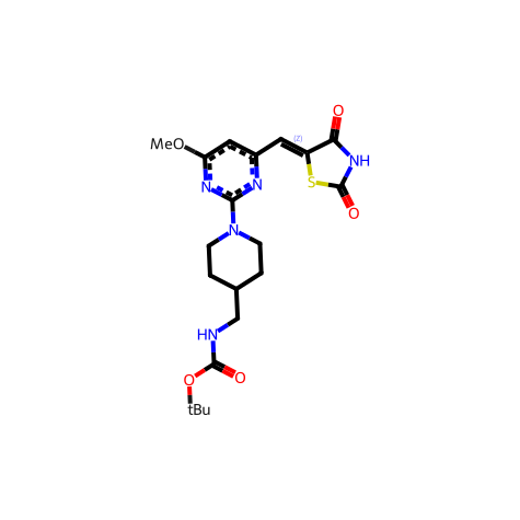 COc1cc(/C=C2\SC(=O)NC2=O)nc(N2CCC(CNC(=O)OC(C)(C)C)CC2)n1